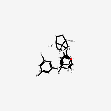 CCn1nc(N[C@@H]2[C@@H]3CC[C@H]2CN(c2cc(C)ncn2)C3)nc1Oc1cc(F)cc(Cl)c1